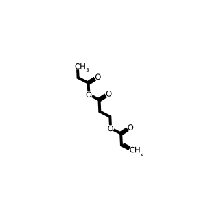 C=CC(=O)OCCC(=O)OC(=O)CC